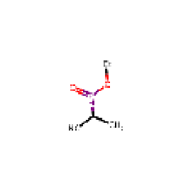 CCO[PH](=O)C(C)C#N